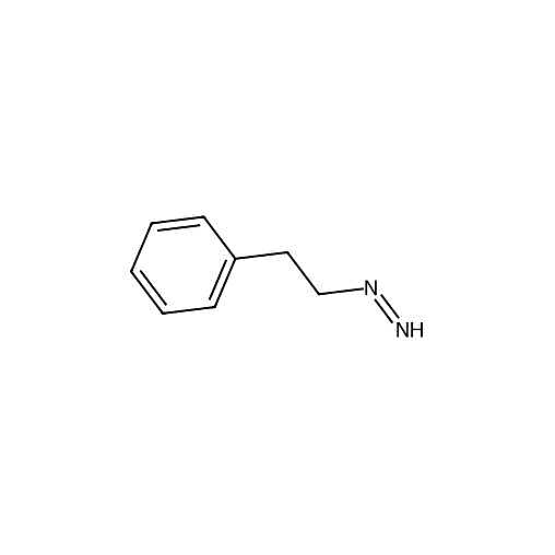 N=NCCc1ccccc1